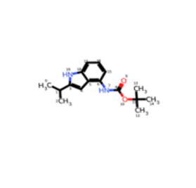 CC(C)c1cc2c(NC(=O)OC(C)(C)C)cccc2[nH]1